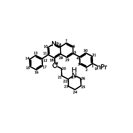 CCCc1ccc(-c2ccc3ncc(-c4ccccc4)c(OCCC4CCCCN4)c3c2)cc1